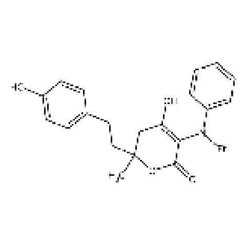 CCN(C1=C(O)CC(C)(CCc2ccc(O)cc2)OC1=O)c1ccccc1